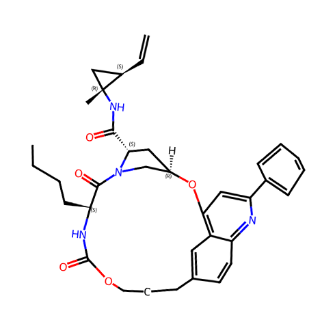 C=C[C@@H]1C[C@@]1(C)NC(=O)[C@@H]1C[C@@H]2CN1C(=O)[C@H](CCCC)NC(=O)OCCCc1ccc3nc(-c4ccccc4)cc(c3c1)O2